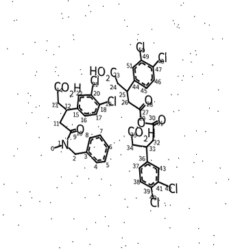 CN(Cc1ccccc1)C(=O)CC(CC(=O)O)c1ccc(Cl)c(Cl)c1.O=C(O)CC(CC(=O)OC(=O)CC(CC(=O)O)c1ccc(Cl)c(Cl)c1)c1ccc(Cl)c(Cl)c1